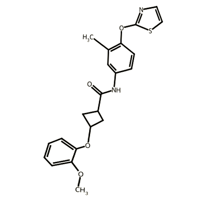 COc1ccccc1OC1CC(C(=O)Nc2ccc(Oc3nccs3)c(C)c2)C1